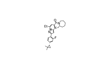 CCc1cc(C(=O)N2CCCCC[C@H]2C)nc2cc(-c3ccc([C@@H]4CC4(C)C)cc3F)nn12